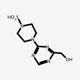 O=S(=O)(O)N1CCN(c2ncnc(CO)n2)CC1